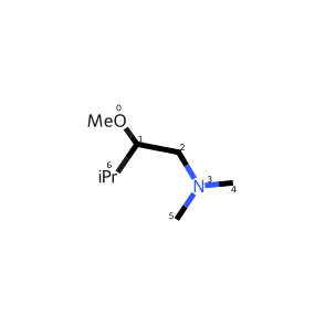 COC(CN(C)C)C(C)C